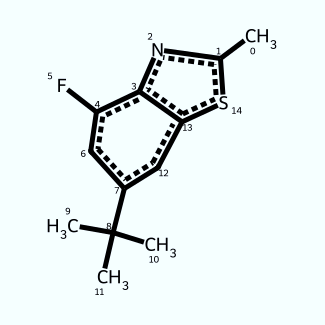 Cc1nc2c(F)cc(C(C)(C)C)cc2s1